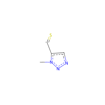 Cn1nncc1[C]=S